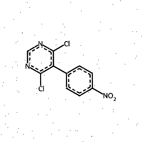 O=[N+]([O-])c1ccc(-c2c(Cl)ncnc2Cl)cc1